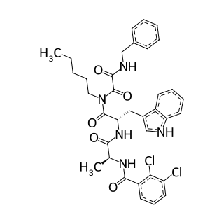 CCCCCN(C(=O)C(=O)NCc1ccccc1)C(=O)[C@H](Cc1c[nH]c2ccccc12)NC(=O)[C@H](C)NC(=O)c1cccc(Cl)c1Cl